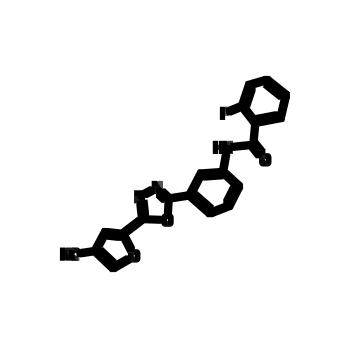 N#Cc1coc(-c2nnc(-c3cccc(NC(=O)c4ccccc4F)c3)o2)c1